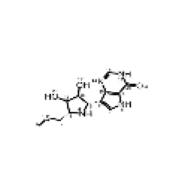 CSC[C@H]1N[C@@H](c2c[nH]c3c(=O)[nH]cnc23)C(O)C1O